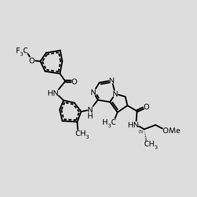 COC[C@H](C)NC(=O)C1CN2N=CN=C(Nc3cc(NC(=O)c4cccc(OC(F)(F)F)c4)ccc3C)C2=C1C